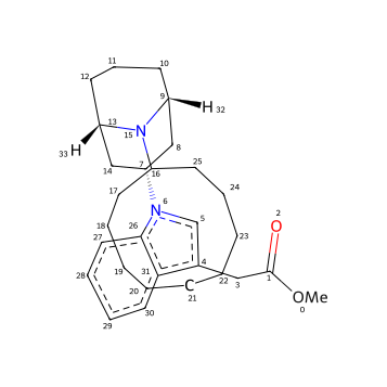 COC(=O)Cc1cn([C@H]2C[C@H]3CCC[C@@H](C2)N3C2CCCCCCCCC2)c2ccccc12